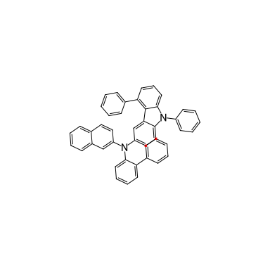 c1ccc(-c2ccccc2N(c2ccc3ccccc3c2)c2ccc3c(c2)c2c(-c4ccccc4)cccc2n3-c2ccccc2)cc1